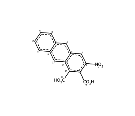 O=C(O)c1c([N+](=O)[O-])cc2cc3ccccc3cc2c1C(=O)O